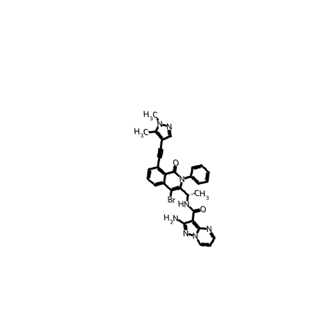 Cc1c(C#Cc2cccc3c(Br)c([C@H](C)NC(=O)c4c(N)nn5cccnc45)n(-c4ccccc4)c(=O)c23)cnn1C